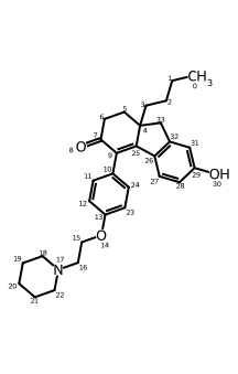 CCCCC12CCC(=O)C(c3ccc(OCCN4CCCCC4)cc3)=C1c1ccc(O)cc1C2